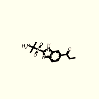 CCC(=O)c1ccc2nc(S(=O)(=O)C(C)(C)N)[nH]c2c1